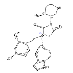 O=C1S/C(=C(/Cc2ccc(Cl)cc2C(F)(F)F)c2ccc3[nH]ncc3c2)C(=O)N1[C@H]1CNCC[C@@H]1O